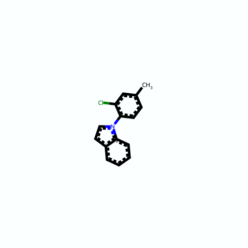 Cc1ccc(-n2ccc3ccccc32)c(Cl)c1